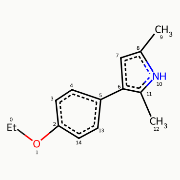 CCOc1ccc(-c2cc(C)[nH]c2C)cc1